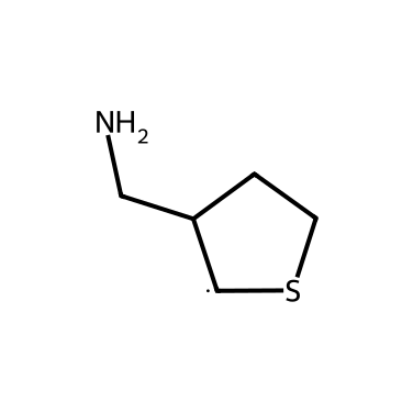 NCC1[CH]SCC1